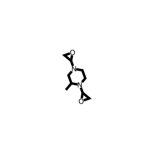 CC1CN(C2CO2)CCN1C1CO1